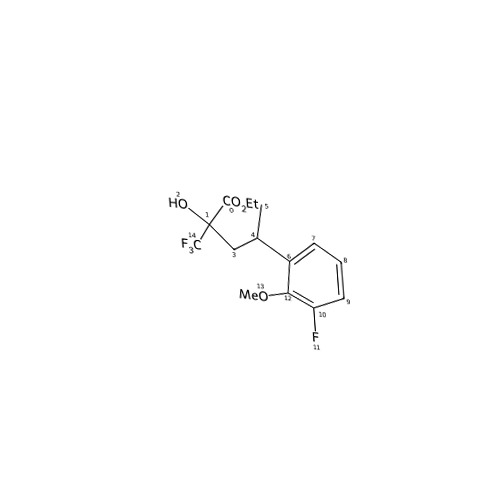 CCOC(=O)C(O)(CC(C)c1cccc(F)c1OC)C(F)(F)F